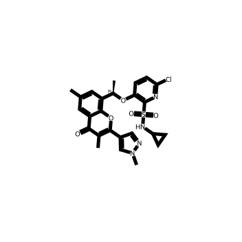 Cc1cc([C@@H](C)Oc2ccc(Cl)nc2S(=O)(=O)NC2CC2)c2oc(-c3cnn(C)c3)c(C)c(=O)c2c1